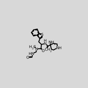 C=C(NC(Cc1csc2ccccc12)C(=O)N(C)CNC=O)C1(N)CCNCC1